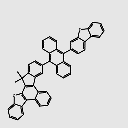 CC1(C)c2ccc(-c3c4ccccc4c(-c4ccc5c(c4)sc4ccccc45)c4ccccc34)cc2-c2c1c1oc3ccccc3c1c1ccccc21